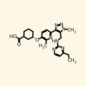 CCc1ccnc(NCc2c(-c3ccc(O[C@H]4CCCC(C(=O)O)C4)c(C)n3)nnn2C)n1